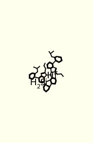 CCCC1=Cc2c(-c3ccccc3CC(C)C)cccc2[CH]1[Hf]([c]1cccc2c1[SiH2]c1ccccc1-2)[CH]1C(CCC)=Cc2c(-c3ccccc3CC(C)C)cccc21